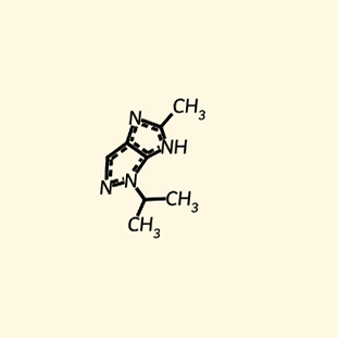 Cc1nc2cnn(C(C)C)c2[nH]1